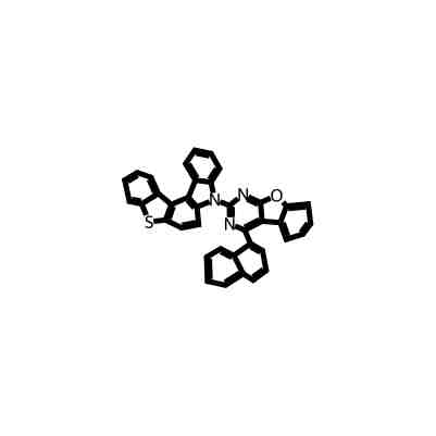 c1ccc2c(-c3nc(-n4c5ccccc5c5c6c(ccc54)sc4ccccc46)nc4oc5ccccc5c34)cccc2c1